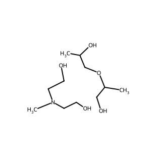 CC(O)COC(C)CO.CN(CCO)CCO